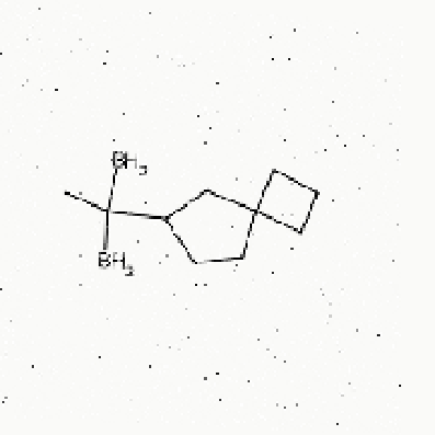 BC(B)(C)C1CCC2(CCC2)C1